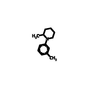 Cc1cccc(N2CCCCC2C)c1